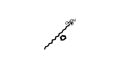 CCCCCCCCCCCCCCCS(=O)(=O)O.c1ccccc1